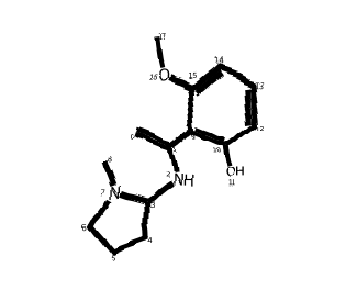 C=C(NC1CCCN1C)c1c(O)cccc1OC